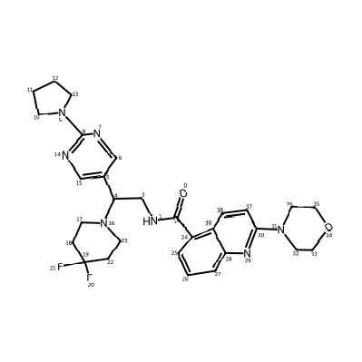 O=C(NCC(c1cnc(N2CCCC2)nc1)N1CCC(F)(F)CC1)c1cccc2nc(N3CCOCC3)ccc12